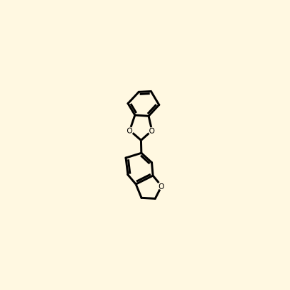 c1ccc2c(c1)OC(c1ccc3c(c1)OCC3)O2